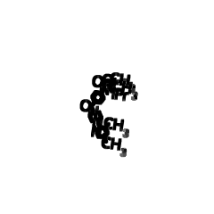 Cc1cnc(N2CCN(C(=O)c3ccc(N4C(=O)OC(C)(C)C4C(C)C)cc3)CC2)c(C)c1